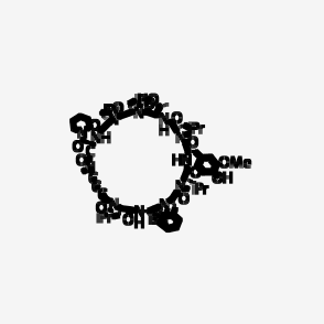 CC[C@H](C)[C@@H]1NC(=O)[C@H](CC(C)C)N(C)C(=O)CCCN(C)C(=O)C[C@@H](C(=O)N2CCCCC2)NC(=O)[C@H](CC(C)C)N(C)C(=O)[C@H](CC(C)C)N(C)C(=O)[C@H]([C@@H](C)O)NC(=O)[C@H](CC(C)C)N(C)C(=O)[C@H](Cc2ccc(O)c(OC)c2)NC(=O)[C@H](CC(C)C)N(C)C(=O)[C@H](Cc2ccccc2)N(C)C1=O